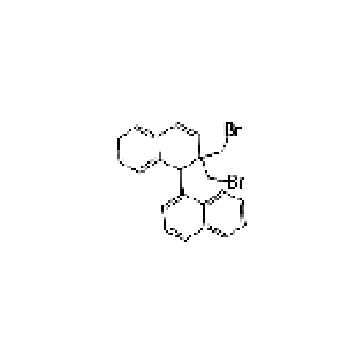 BrCC1(CBr)C=Cc2ccccc2[C@@H]1c1cccc2ccccc12